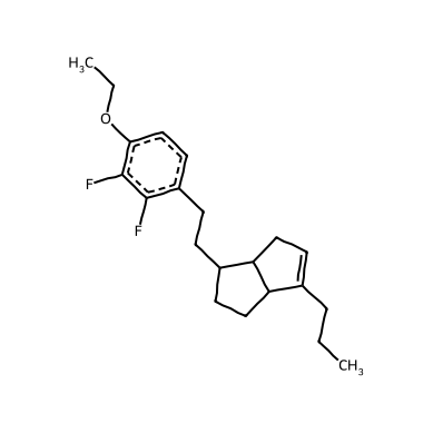 CCCC1=CCC2C(CCc3ccc(OCC)c(F)c3F)CCC12